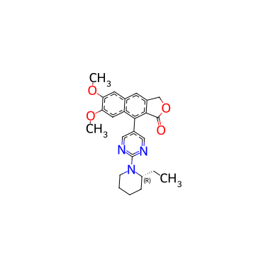 CC[C@@H]1CCCCN1c1ncc(-c2c3c(cc4cc(OC)c(OC)cc24)COC3=O)cn1